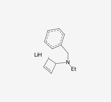 CCN(Cc1ccccc1)C1[CH]C=C1.[LiH]